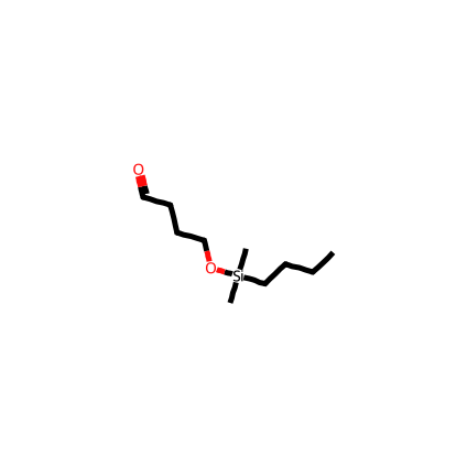 CCCC[Si](C)(C)OCCCC=O